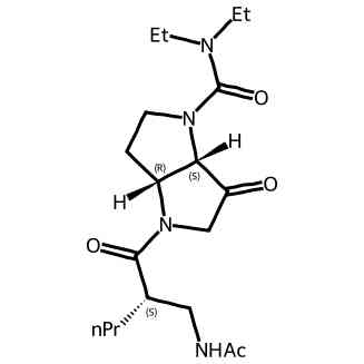 CCC[C@@H](CNC(C)=O)C(=O)N1CC(=O)[C@@H]2[C@H]1CCN2C(=O)N(CC)CC